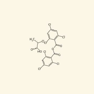 CC(Cl)C(=O)O.O=C(OC(=O)c1c(Cl)cc(Cl)cc1Cl)c1c(Cl)cc(Cl)cc1Cl